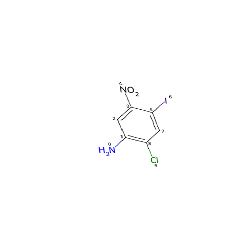 Nc1cc([N+](=O)[O-])c(I)cc1Cl